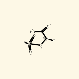 C[C@@H](OS(C)(=O)=O)C(=O)O